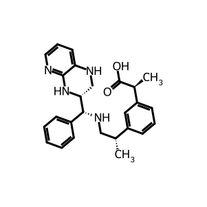 C[C@H](CN[C@H](c1ccccc1)[C@H]1CNc2cccnc2N1)c1cccc([C@H](C)C(=O)O)c1